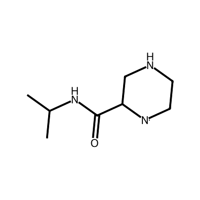 CC(C)NC(=O)C1CNCC[N]1